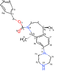 C[C@@H]1CCN(C(=O)OCc2ccccc2)[C@@H](C)c2cc(N3CCNCC3)ccc21